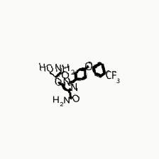 NC(=O)c1cc(O[C@@H](CO)C(N)=O)nc(-c2ccc(Oc3ccc(C(F)(F)F)cc3)cc2)n1